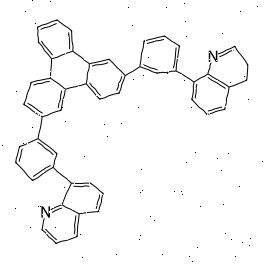 C1=Nc2c(cccc2-c2cccc(-c3ccc4c(c3)c3ccccc3c3ccc(-c5cccc(-c6cccc7cccnc67)c5)cc34)c2)CC1